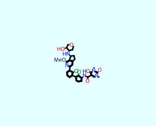 COc1nc(-c2cccc(-c3cccc(NC(=O)c4cn(C)c(=O)n(C)c4=O)c3Cl)c2Cl)cc2c1C(NC1CCOCC1O)CC2